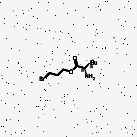 CC[C@H](C)[C@H](N)C(=O)OCCCBr